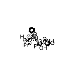 CC(C)OC(=O)[C@H](C)NP(=O)(OC[C@H]1O[C@@H](n2ccc(=O)[nH]c2=O)[C@@H](O)C1F)Oc1ccccc1